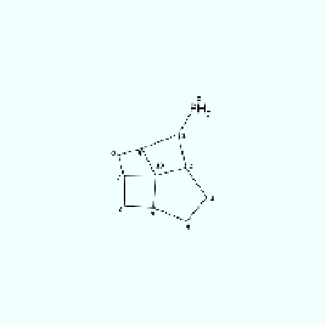 PC1C2CCC3CC4CC1C342